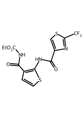 CCOC(=O)NC(=O)c1ccsc1NC(=O)c1csc(C(F)(F)F)n1